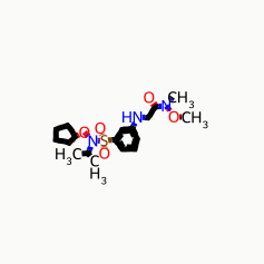 CON(C)C(=O)CNc1cccc(S(=O)(=O)N(OC2CCCC2)C(C)C)c1